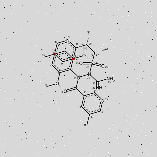 COc1cccc(OC)c1N(C(=O)c1cncc(C)c1)N(C(=N)N)S(=O)(=O)[C@@H](C)[C@@H](C)c1ncc(C)cn1